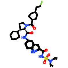 CC(C)N(C(C)C)S(=O)(=O)NC(=O)c1cc2cc(NC(=O)[C@@H]3[C@H](C4CCCCC4)CCN3C(=O)C3CCC(CCF)CC3)ccc2[nH]1